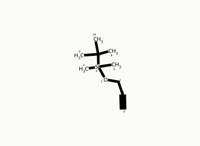 [C]#CCO[Si](C)(C)C(C)(C)C